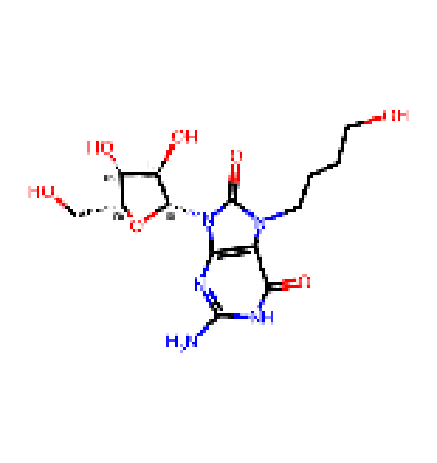 Nc1nc2c(c(=O)[nH]1)n(CCCCO)c(=O)n2[C@@H]1O[C@H](CO)[C@H](O)[C@H]1O